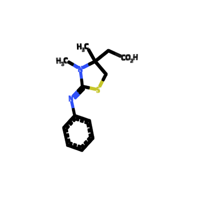 CN1C(=Nc2ccccc2)SCC1(C)CC(=O)O